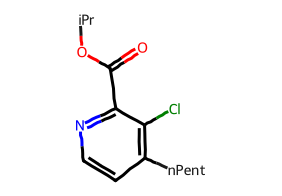 CCCCCc1ccnc(C(=O)OC(C)C)c1Cl